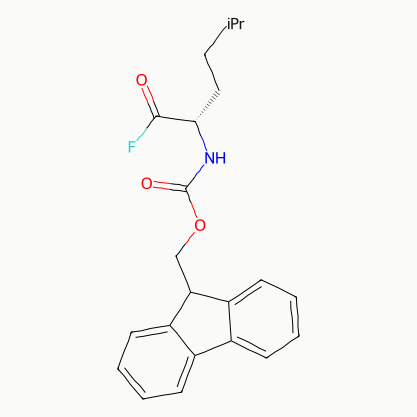 CC(C)CC[C@H](NC(=O)OCC1c2ccccc2-c2ccccc21)C(=O)F